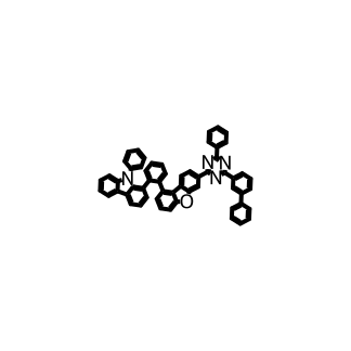 c1ccc(-c2cccc(-c3nc(-c4ccccc4)nc(-c4ccc5c(c4)oc4cccc(-c6ccccc6-c6cccc7c8ccccc8n(-c8ccccc8)c67)c45)n3)c2)cc1